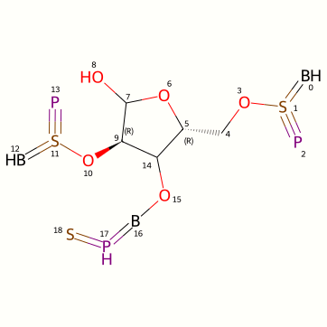 B=S(#P)OC[C@H]1OC(O)[C@H](OS(=B)#P)C1OB=[PH]=S